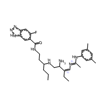 CCCC(CCNC(=O)c1cc2[nH]nnc2cc1F)NCC(N)/C(=C\N=C(/C)Nc1cc(C)cc(C)c1)CC